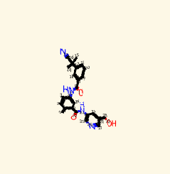 Cc1ccc(NC(=O)c2cccc(C(C)(C)C#N)c2)cc1C(=O)Nc1cncc(CO)c1